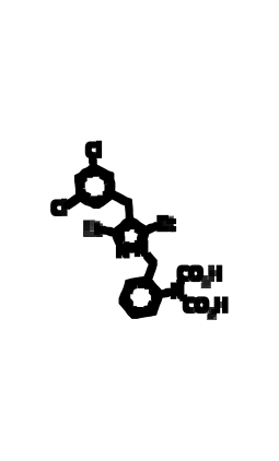 CCc1nn(Cc2ccccc2N(C(=O)O)C(=O)O)c(CC)c1Cc1cc(Cl)cc(Cl)c1